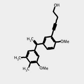 C=C(c1ccc(OC)c(C#CCCO)c1)c1cc(C)c(C)c(OC)c1